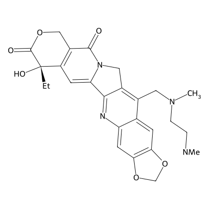 CC[C@@]1(O)C(=O)OCc2c1cc1n(c2=O)Cc2c-1nc1cc3c(cc1c2CN(C)CCNC)OCO3